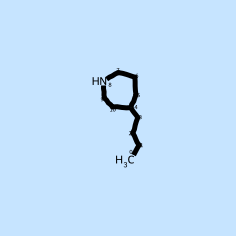 CCCCC1CCCNCC1